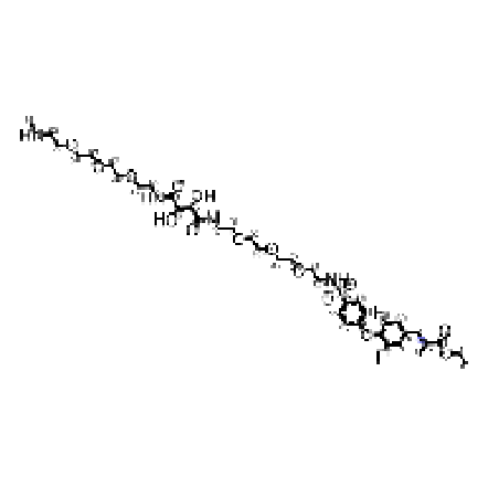 CCOC(=O)/C(C)=C/c1cc(F)c(Oc2ccc(S(=O)(=O)NCCOCCOCCOCCNC(=O)[C@H](O)[C@@H](O)C(=O)NCCOCCOCCOCCNC)cc2)c(F)c1